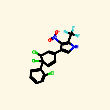 O=[N+]([O-])c1c(C2=CC(Cl)C(Cl)(c3ccccc3Cl)C=C2)c[nH]c1C(F)(F)F